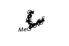 COc1cc(OCc2csc(-c3ccc(C(=O)N(C)C)cc3)n2)c2cc(-c3cn4nc(C(C)F)oc4n3)oc2c1